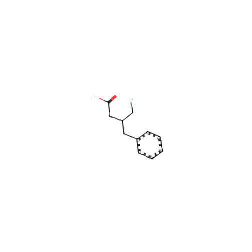 NCC(CC(=O)O)Cc1ccccc1